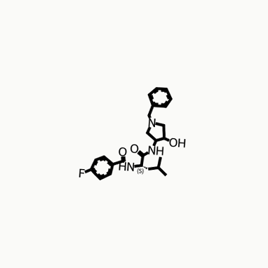 CC(C)C[C@H](NC(=O)c1ccc(F)cc1)C(=O)NC1CN(Cc2ccccc2)CC1O